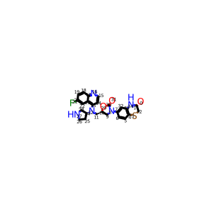 O=C1CSc2ccc(N3C[C@@H](CN(c4ccnc5ccc(F)cc45)[C@@H]4CCNC4)OC3=O)cc2N1